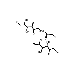 NCC(=O)O.O=CC(O)C(O)C(O)C(O)CO.OCC(O)C(O)C(O)C(O)CO